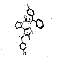 Cc1nnc([C@H]2CCCN2C(=O)NC(c2ccccc2)c2ccc(Cl)cc2)n1Cc1ccc(Cl)cc1